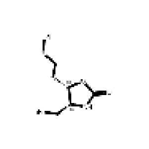 CC(C)C[C@@H]1NC(=O)O[C@H]1CCSC(C)C